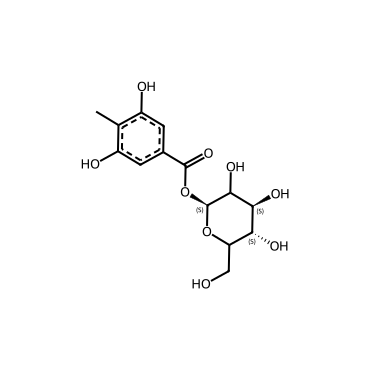 Cc1c(O)cc(C(=O)O[C@@H]2OC(CO)[C@@H](O)[C@H](O)C2O)cc1O